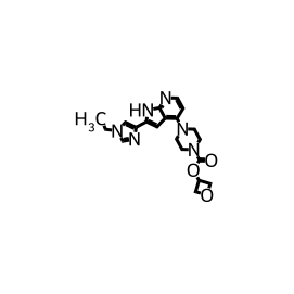 CCn1cnc(-c2cc3c(N4CCN(C(=O)OC5COC5)CC4)ccnc3[nH]2)c1